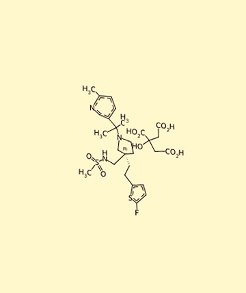 Cc1ccc(C(C)(C)N2CC[C@@](CCc3ccc(F)s3)(CNS(C)(=O)=O)C2)cn1.O=C(O)CC(O)(CC(=O)O)C(=O)O